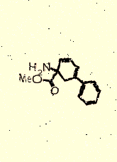 COC(=O)C1(N)C=CC=C(c2ccccc2)C1